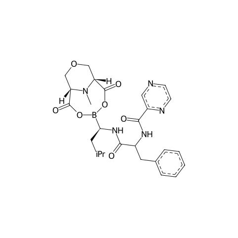 CC(C)C[C@H](NC(=O)C(Cc1ccccc1)NC(=O)c1cnccn1)B1OC(=O)[C@H]2COC[C@@H](C(=O)O1)N2C